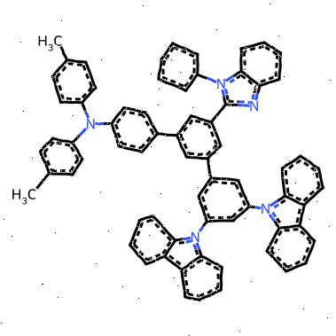 Cc1ccc(N(c2ccc(C)cc2)c2ccc(-c3cc(-c4cc(-n5c6ccccc6c6ccccc65)cc(-n5c6ccccc6c6ccccc65)c4)cc(-c4nc5ccccc5n4-c4ccccc4)c3)cc2)cc1